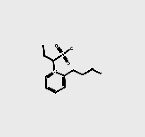 CCCCc1cccc[n+]1C(CC)S(=O)(=O)[O-]